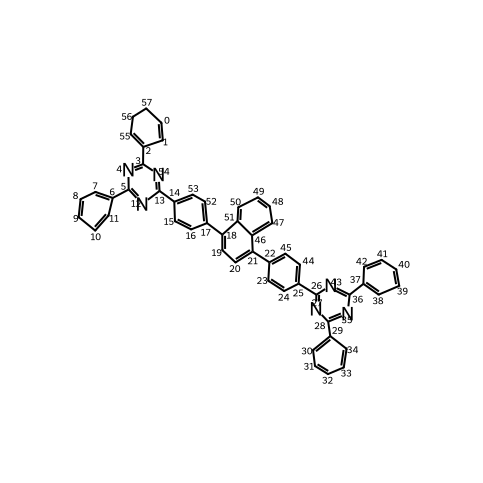 C1=CC(c2nc(-c3ccccc3)nc(-c3ccc(-c4ccc(-c5ccc(-c6nc(-c7ccccc7)nc(-c7ccccc7)n6)cc5)c5ccccc45)cc3)n2)=CCC1